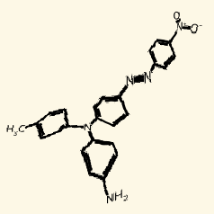 Cc1ccc(N(c2ccc(N)cc2)c2ccc(/N=N/c3ccc([N+](=O)[O-])cc3)cc2)cc1